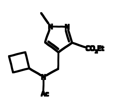 CCOC(=O)c1nn(C)cc1CN(C(C)=O)C1CCC1